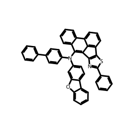 c1ccc(-c2ccc(N(c3ccc4c(c3)oc3ccccc34)c3c4c5c(cccc5c5ccccc35)-c3sc(-c5ccccc5)nc3-4)cc2)cc1